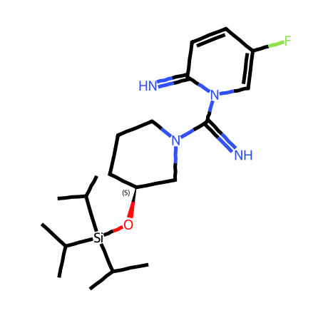 CC(C)[Si](O[C@H]1CCCN(C(=N)n2cc(F)ccc2=N)C1)(C(C)C)C(C)C